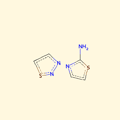 Nc1nccs1.c1csnn1